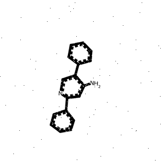 Nc1cc(-c2ccccc2)ncc1-c1ccccc1